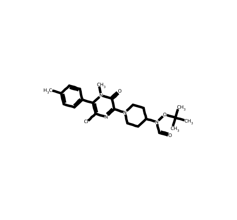 Cc1ccc(-c2c(Cl)nc(N3CCC(N(C=O)OC(C)(C)C)CC3)c(=O)n2C)cc1